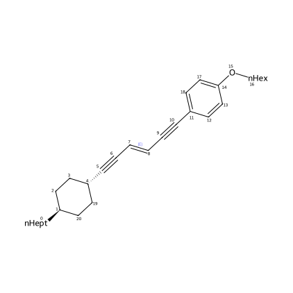 CCCCCCC[C@H]1CC[C@H](C#C/C=C/C#Cc2ccc(OCCCCCC)cc2)CC1